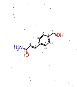 NC(=O)/C=C/c1ccc(CO)cc1